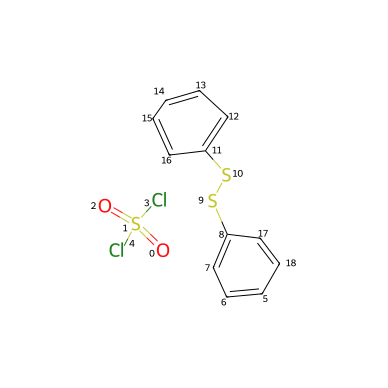 O=S(=O)(Cl)Cl.c1ccc(SSc2ccccc2)cc1